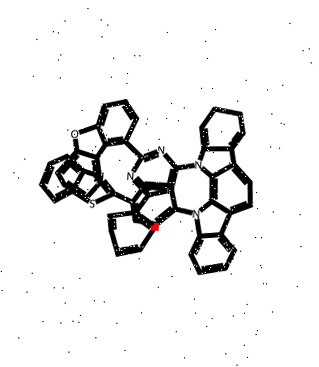 C1=c2c(n(-c3nc(-c4ccccc4)nc(-c4cccc5oc6ccccc6c45)n3)c3c2ccc2c4ccccc4n(-c4ccc(-c5nc6ccccc6s5)cc4)c23)=CCC1